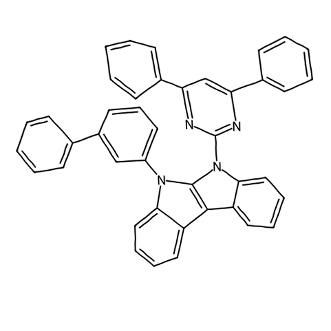 c1ccc(-c2cccc(-n3c4ccccc4c4c5ccccc5n(-c5nc(-c6ccccc6)cc(-c6ccccc6)n5)c43)c2)cc1